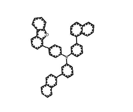 c1cc(-c2ccc3ccccc3c2)cc(N(c2ccc(-c3cccc4c3oc3ccccc34)cc2)c2cccc(-c3cccc4ccccc34)c2)c1